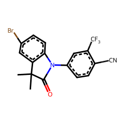 CC1(C)C(=O)N(c2ccc(C#N)c(C(F)(F)F)c2)c2ccc(Br)cc21